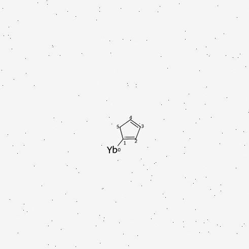 [Yb][C]1=CC=CC1